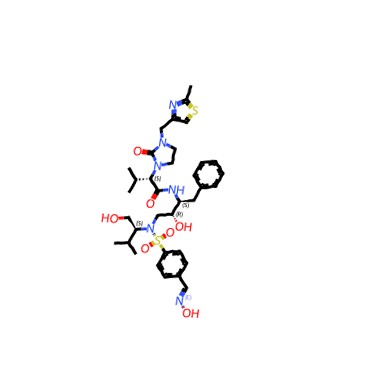 Cc1nc(CN2CCN([C@H](C(=O)N[C@@H](Cc3ccccc3)[C@H](O)CN([C@H](CO)C(C)C)S(=O)(=O)c3ccc(/C=N/O)cc3)C(C)C)C2=O)cs1